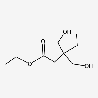 CCOC(=O)CC(CC)(CO)CO